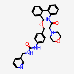 O=C(CN1CCOCC1)Nc1ccccc1-c1ccccc1COCc1ccc(NC(=O)NCc2cccnc2)cc1